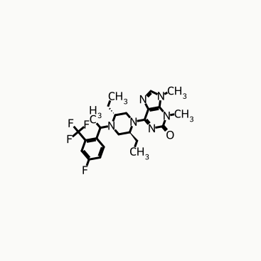 CC[C@H]1CN(C(C)c2ccc(F)cc2C(F)(F)F)[C@H](CC)CN1c1nc(=O)n(C)c2c1ncn2C